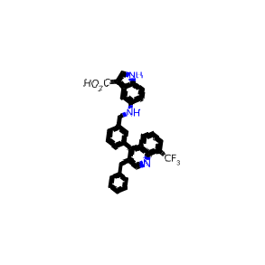 O=C(O)c1c[nH]c2ccc(NCc3cccc(-c4c(Cc5ccccc5)cnc5c(C(F)(F)F)cccc45)c3)cc12